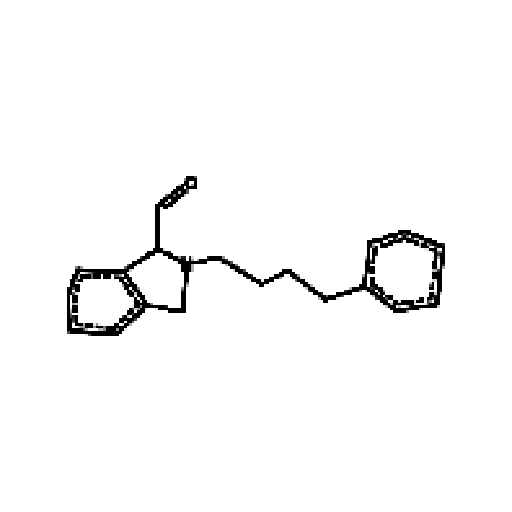 O=CC1c2ccccc2CN1CCCCc1ccccc1